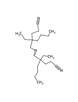 CCCCC(C=NCC(CC)(CCC#N)CCCC)(CC)CCC#N